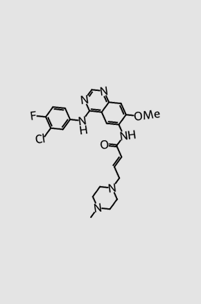 COc1cc2ncnc(Nc3ccc(F)c(Cl)c3)c2cc1NC(=O)C=CCN1CCN(C)CC1